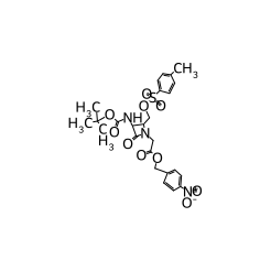 Cc1ccc(S(=O)(=O)OCC2C(NC(=O)OC(C)(C)C)C(=O)N2CC(=O)OCc2ccc([N+](=O)[O-])cc2)cc1